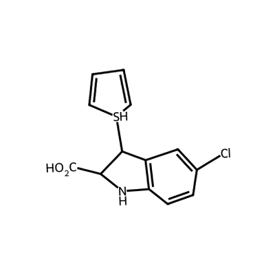 O=C(O)C1Nc2ccc(Cl)cc2C1[SH]1C=CC=C1